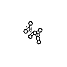 c1ccc(-c2nc(-n3c4ccccc4c4c5c6cc7ccccc7cc6n6c7ccccc7c(cc43)c56)c3ccccc3n2)cc1